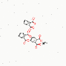 O=C([O-])C1C2C=CC(C2)C1C(=O)[O-].O=C([O-])C1C2C=CC(C2)C1C(=O)[O-].O=C([O-])C1C2C=CC(C2)C1C(=O)[O-].[Al+3].[Al+3]